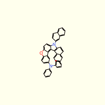 c1ccc(N(c2ccccc2)c2ccc3oc4ccc5c(c4c3c2)c2c3ccccc3ccc2n5-c2ccc3ccccc3c2)cc1